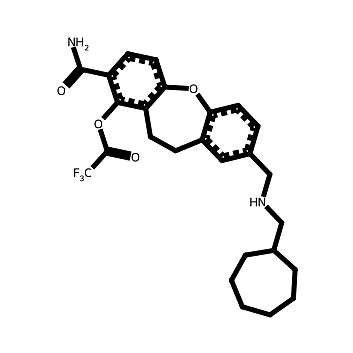 NC(=O)c1ccc2c(c1OC(=O)C(F)(F)F)CCc1cc(CNCC3CCCCCC3)ccc1O2